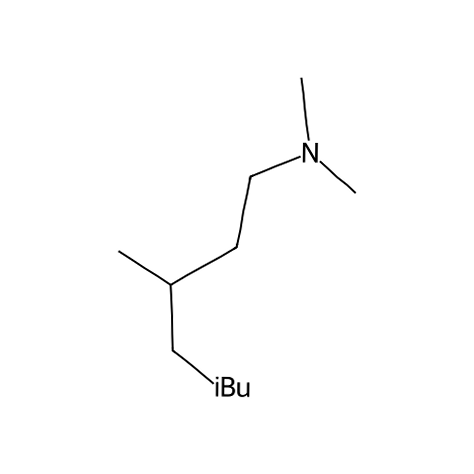 CCC(C)CC(C)CCN(C)C